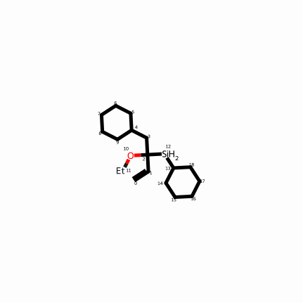 C=CC(CC1CCCCC1)(OCC)[SiH2]C1CCCCC1